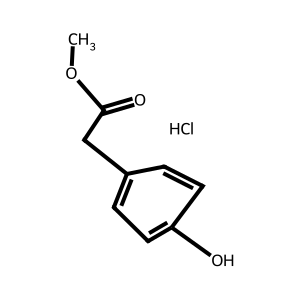 COC(=O)Cc1ccc(O)cc1.Cl